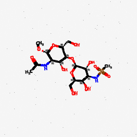 CO[C@@H]1O[C@H](CO)[C@@H](O[C@@H]2O[C@H](CO)[C@H](O)[C@H](NS(C)(=O)=O)[C@H]2O)[C@H](O)[C@H]1NC(C)=O